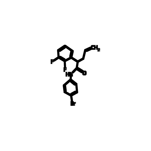 C=CCC(C(=O)Nc1ccc(Br)cc1)c1cccc(F)c1F